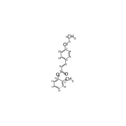 CCOc1ccc(C=CC(=O)Oc2ccccc2C)cc1